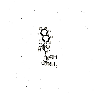 NC(=O)N(O)CCNS(=O)(=O)c1ccc2ccccc2c1